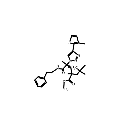 CCCCOC(=O)C(C)(CC(C)(C)C(=O)OCC)CC(C)(C(=O)NCCc1ccccc1)n1cc(-c2sccc2C)nn1